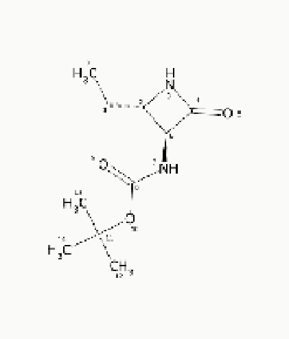 CC[C@@H]1NC(=O)[C@H]1NC(=O)OC(C)(C)C